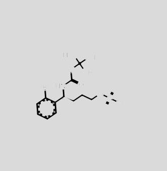 CC(C)(C)OC(=O)N[C@@H](CCCOS(C)(=O)=O)c1ccccc1Br